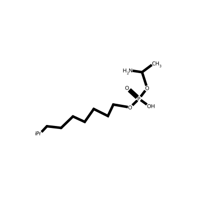 CC(C)CCCCCCCOP(=O)(O)OC(C)N